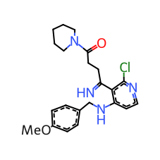 COc1ccc(CNc2ccnc(Cl)c2C(=N)CCC(=O)N2CCCCC2)cc1